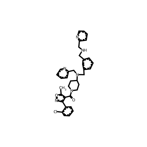 Cc1onc(-c2ccccc2Cl)c1C(=O)N1CCC(N(Cc2cccc(CNCc3ccccn3)c2)Cc2ccccn2)CC1